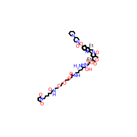 CCc1c2c(nc3ccc(OC(=O)N4CCC(N5CCCCC5)CC4)cc13)-c1cc3c(c(=O)n1C2)COC(=O)[C@@]3(CC)OC(=O)CNC(O)C(N)CCCCNC(=O)COCCOCCOCCNC(=O)CCCCCN1C(=O)C=CC1=O